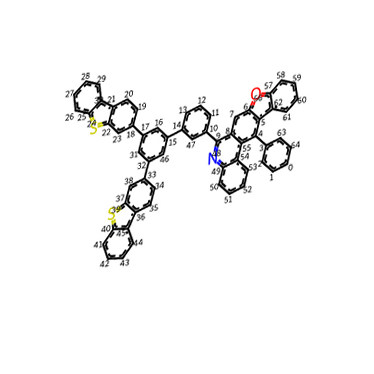 c1ccc(-c2c3c(cc4c(-c5cccc(-c6cc(-c7ccc8c(c7)sc7ccccc78)cc(-c7ccc8c(c7)sc7ccccc78)c6)c5)nc5ccccc5c24)oc2ccccc23)cc1